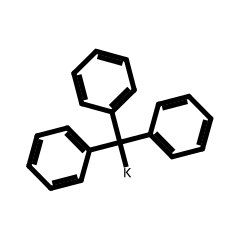 [K][C](c1ccccc1)(c1ccccc1)c1ccccc1